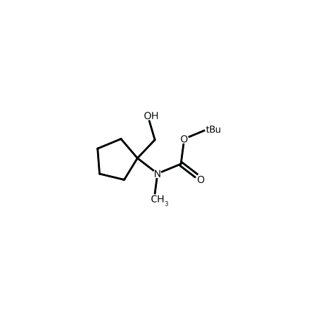 CN(C(=O)OC(C)(C)C)C1(CO)CCCC1